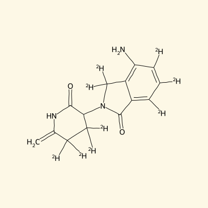 [2H]c1c([2H])c(N)c2c(c1[2H])C(=O)N(C1C(=O)NC(=C)C([2H])([2H])C1([2H])[2H])C2([2H])[2H]